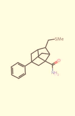 CSCC1C2CC3(c4ccccc4)CC1C(C(N)=O)(C2)C3